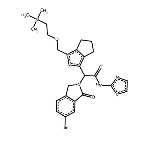 C[Si](C)(C)CCOCn1nc(C(C(=O)Nc2nccs2)N2Cc3ccc(Br)cc3C2=O)c2c1CCC2